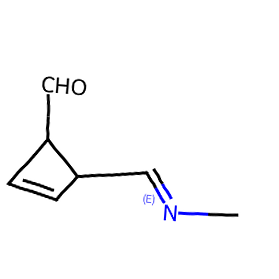 C/N=C/C1C=CC1C=O